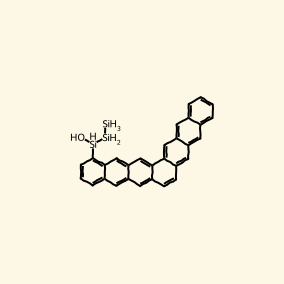 O[SiH]([SiH2][SiH3])c1cccc2cc3cc4ccc5cc6cc7ccccc7cc6cc5c4cc3cc12